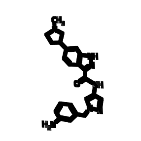 CN1CCC(c2ccc3c(C(=O)Nc4cnn(Cc5cccc(N)c5)c4)n[nH]c3c2)C1